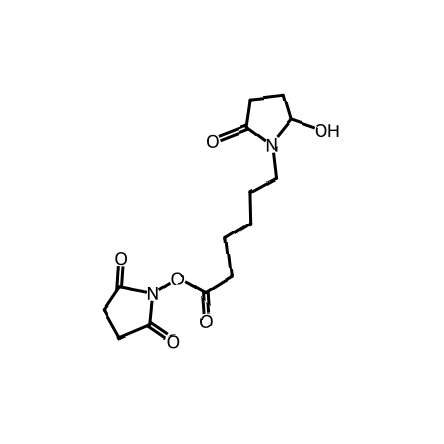 O=C(CCCCCN1C(=O)CCC1O)ON1C(=O)CCC1=O